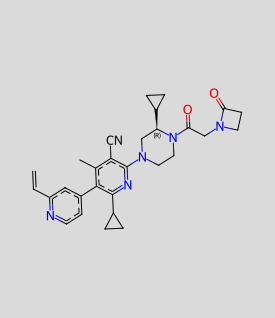 C=Cc1cc(-c2c(C3CC3)nc(N3CCN(C(=O)CN4CCC4=O)[C@H](C4CC4)C3)c(C#N)c2C)ccn1